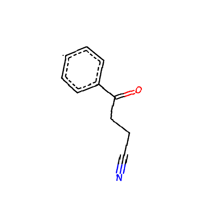 N#CCCC(=O)c1cc[c]cc1